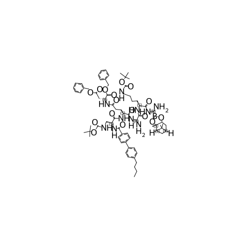 CCCCc1ccc(-c2ccc(C(=O)N[C@@H](CNC(=O)OC(C)(C)C)C(=O)N[C@@H](CCC(=O)N[C@H](CC(=O)OCc3ccccc3)C(=O)OCc3ccccc3)C(=O)N[C@@H](N)C(=O)N[C@@H](CCCCNC(=O)OC(C)(C)C)C(=O)N[C@@H](N)B3OC4C[C@@H]5C[C@@H](C5(C)C)[C@]4(C)O3)cc2)cc1